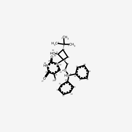 CC(C)(C)[C@@H]1C[C@](CO[SiH](c2ccccc2)c2ccccc2)(n2cc(F)c(=O)[nH]c2=O)[C@H]1O